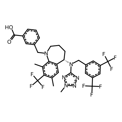 Cc1cc2c(c(C)c1C(F)(F)F)N(Cc1cccc(C(=O)O)c1)CCC[C@@H]2N(Cc1cc(C(F)(F)F)cc(C(F)(F)F)c1)c1nnn(C)n1